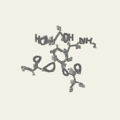 C=CC(=O)Oc1ccc(CCN)cc1OC(=O)C(=C)C.OCCO